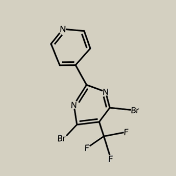 FC(F)(F)c1c(Br)nc(-c2ccncc2)nc1Br